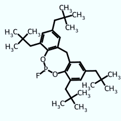 CC(C)(C)Cc1cc2c(c(CC(C)(C)C)c1)OP(F)Oc1c(cc(CC(C)(C)C)cc1CC(C)(C)C)C2